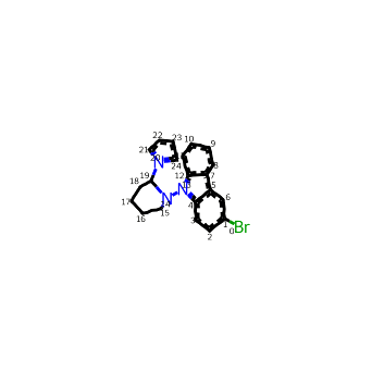 Brc1ccc2c(c1)c1ccccc1n2N1CCCCC1n1cccc1